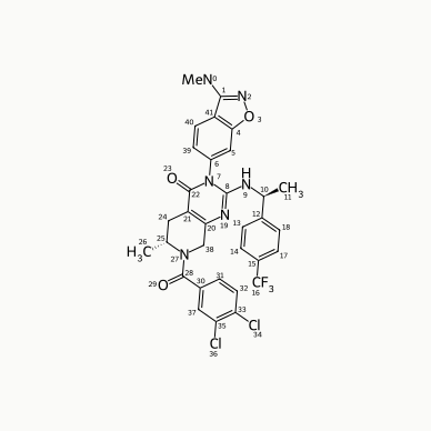 CNc1noc2cc(-n3c(N[C@@H](C)c4ccc(C(F)(F)F)cc4)nc4c(c3=O)C[C@@H](C)N(C(=O)c3ccc(Cl)c(Cl)c3)C4)ccc12